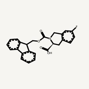 O=C(O)[C@@H]1Cc2ccc(F)cc2CN1C(=O)OCC1c2ccccc2-c2ccccc21